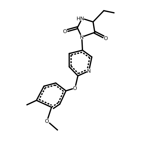 CCC1NC(=O)N(c2ccc(Oc3ccc(C)c(OC)c3)nc2)C1=O